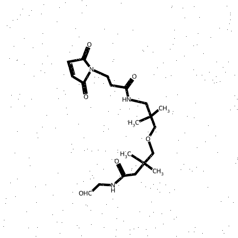 CC(C)(CNC(=O)CCN1C(=O)C=CC1=O)COCC(C)(C)CC(=O)NCC=O